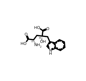 N[C@@H](C[C@](O)(Cc1c[nH]c2ccccc12)C(=O)O)C(=O)O